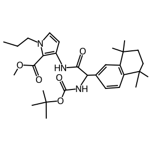 CCCn1ccc(NC(=O)C(NC(=O)OC(C)(C)C)c2ccc3c(c2)C(C)(C)CCC3(C)C)c1C(=O)OC